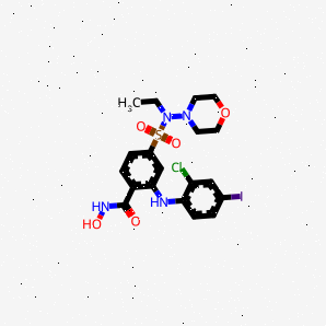 CCN(N1CCOCC1)S(=O)(=O)c1ccc(C(=O)NO)c(Nc2ccc(I)cc2Cl)c1